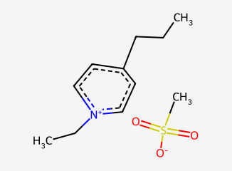 CCCc1cc[n+](CC)cc1.CS(=O)(=O)[O-]